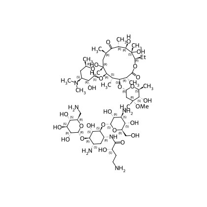 CC[C@H]1OC(=O)[C@H](C)[C@@H](O[C@H]2C[C@@](C)(OC)[C@@H](O)[C@H](C)O2)[C@H](C)[C@@H](O[C@@H]2O[C@H](C)C[C@H](N(C)C)[C@H]2O)[C@](C)(O)C[C@@H](C)C(=O)[C@H](C)[C@@H](O)[C@]1(C)O.NCC[C@H](O)C(=O)N[C@@H]1C[C@H](N)[C@@H](O[C@H]2O[C@H](CN)[C@@H](O)[C@H](O)[C@H]2O)[C@H](O)[C@H]1O[C@H]1O[C@H](CO)[C@@H](O)[C@H](N)[C@H]1O